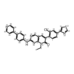 CCn1c(=O)c(-c2ccc(-c3cscn3)cc2Cl)cc2cnc(Nc3ccc(-c4ccncc4)cc3)nc21